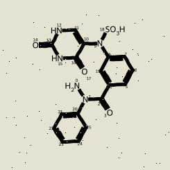 NN(C(=O)c1cccc(N(c2c[nH]c(=O)[nH]c2=O)S(=O)(=O)O)c1)c1ccccc1